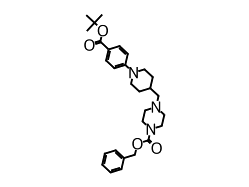 CC(C)(C)OC(=O)c1ccc(N2CCC(CN3CCN(C(=O)OCc4ccccc4)CC3)CC2)cc1